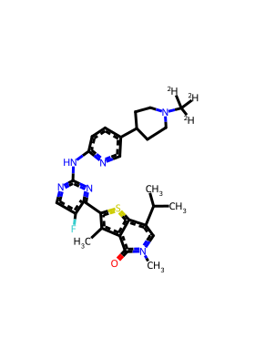 [2H]C([2H])([2H])N1CCC(c2ccc(Nc3ncc(F)c(-c4sc5c(C(C)C)cn(C)c(=O)c5c4C)n3)nc2)CC1